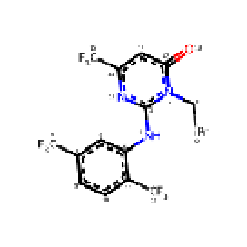 CC(C)Cn1c(Nc2cc(C(F)(F)F)ccc2C(F)(F)F)nc(C(F)(F)F)cc1=O